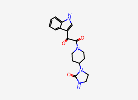 O=C(C(=O)N1CCC(N2CCNC2=O)CC1)c1c[nH]c2ccccc12